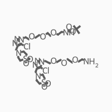 CC(C)(C)OC(=O)NCCOCCOCCOCCn1nnc(CN2CCS(=O)(=O)CC2)c1Cl.NCCOCCOCCOCCn1nnc(CN2CCS(=O)(=O)CC2)c1Cl